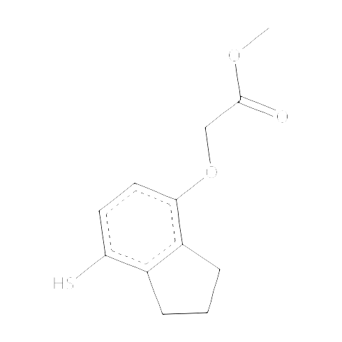 COC(=O)COc1ccc(S)c2c1CCC2